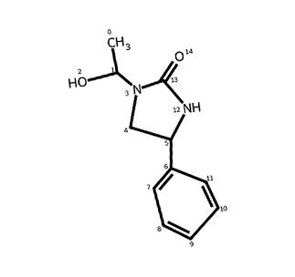 CC(O)N1CC(c2ccccc2)NC1=O